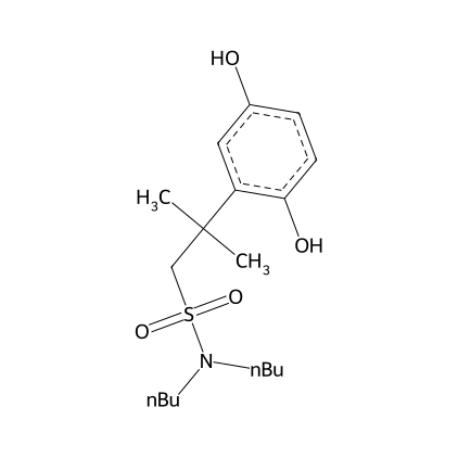 CCCCN(CCCC)S(=O)(=O)CC(C)(C)c1cc(O)ccc1O